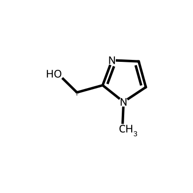 Cn1ccnc1[CH]O